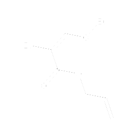 C=CCOC(=O)C(=COCC)CC